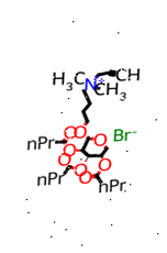 C#CC[N+](C)(C)CCCCOC1OC[C@@H](OC(=O)CCC)[C@H](OC(=O)CCC)[C@H]1OC(=O)CCC.[Br-]